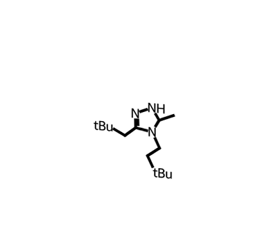 CC1NN=C(CC(C)(C)C)N1CCC(C)(C)C